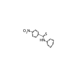 O=[N+]([O-])c1ccc(C(=S)Nc2ccccc2)cc1